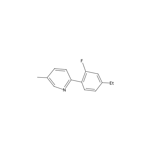 CCc1ccc(-c2ccc(C)cn2)c(F)c1